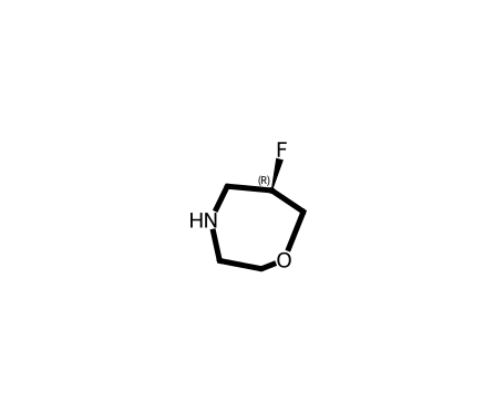 F[C@@H]1CNCCOC1